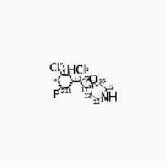 Cl.Fc1cc(Cl)cc(C2COC3(CCNCC3)C2)c1